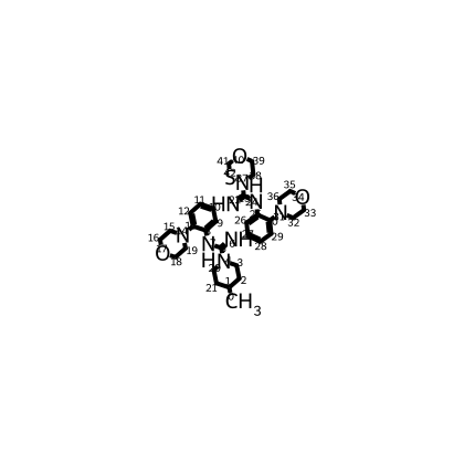 CC1CCN(C(=N)Nc2ccccc2N2CCOCC2)CC1.N=C(Nc1ccccc1N1CCOCC1)N1CCOCS1